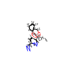 CC1(c2ccc(C#N)nc2)OCc2ccccc2O1